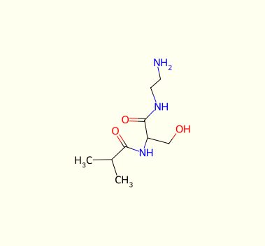 CC(C)C(=O)NC(CO)C(=O)NCCN